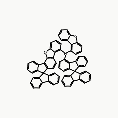 c1ccc2c(c1)-c1ccccc1C21c2ccccc2-c2c(N(c3cccc4oc5c6c(ccc5c34)C3(c4ccccc4-c4ccccc43)c3ccccc3-6)c3cccc4sc5ccccc5c34)cccc21